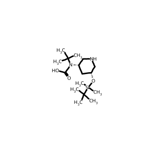 CC(C)(C)N(C(=O)O)[C@@H]1CNC[C@H](O[Si](C)(C)C(C)(C)C)C1